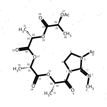 C/N=C1/N(C(C)=O)CCN1C(=O)[C@H](C)OC(=O)[C@H](C)OC(=O)[C@H](C)OC(=O)[C@H](C)OC(C)=O